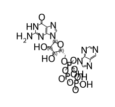 Nc1nc2c(ncn2[C@@H]2O[C@H](COP(=O)(On3cnc4cncnc43)OP(=O)(O)OP(=O)(O)O)[C@@H](O)[C@H]2O)c(=O)[nH]1